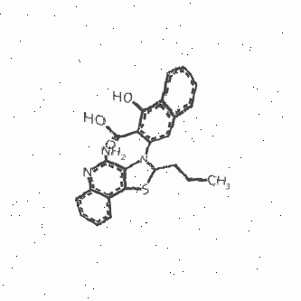 CCCC1Sc2c(c(N)nc3ccccc23)N1c1cc2ccccc2c(O)c1C(=O)O